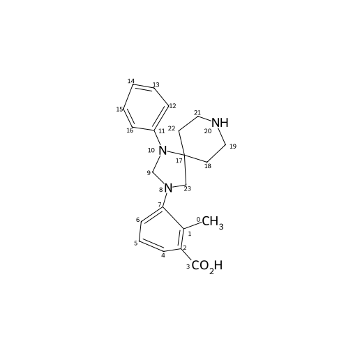 Cc1c(C(=O)O)cccc1N1CN(c2ccccc2)C2(CCNCC2)C1